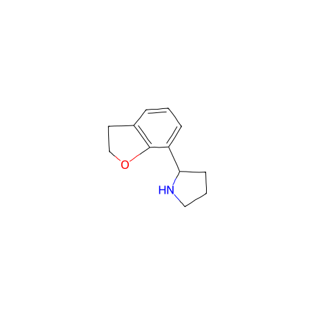 c1cc2c(c(C3CCCN3)c1)OCC2